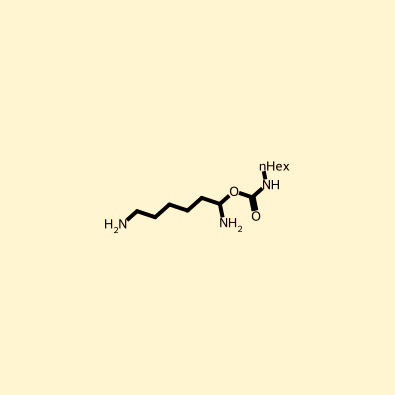 CCCCCCNC(=O)OC(N)CCCCCN